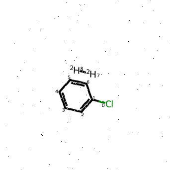 Clc1ccccc1.[2H][2H]